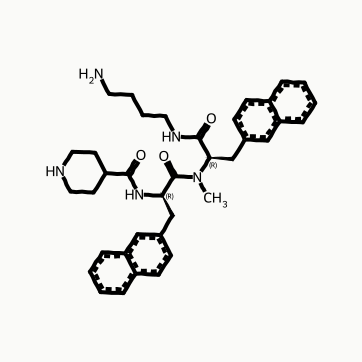 CN(C(=O)[C@@H](Cc1ccc2ccccc2c1)NC(=O)C1CCNCC1)[C@H](Cc1ccc2ccccc2c1)C(=O)NCCCCN